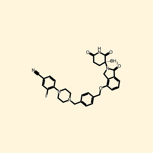 B[C@]1(N2Cc3c(OCc4ccc(CN5CCN(c6ccc(C#N)cc6F)CC5)cc4)cccc3C2=O)CCC(=O)NC1=O